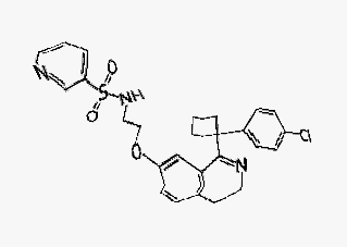 O=S(=O)(NCCOc1ccc2c(c1)C(C1(c3ccc(Cl)cc3)CCC1)=NCC2)c1cccnc1